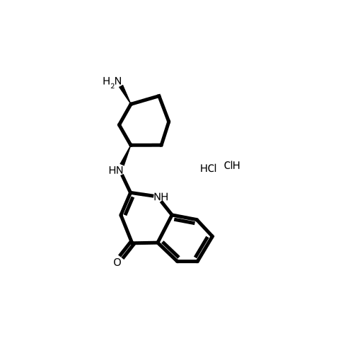 Cl.Cl.N[C@H]1CCC[C@@H](Nc2cc(=O)c3ccccc3[nH]2)C1